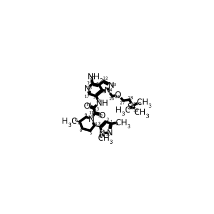 Cc1cc([C@H]2CC[C@H](C)CN2C(=O)C(=O)Nc2cnc(N)c3cnn(COCC[Si](C)(C)C)c23)n(C)n1